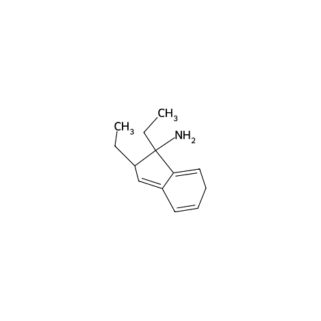 CCC1C=C2C=CCC=C2C1(N)CC